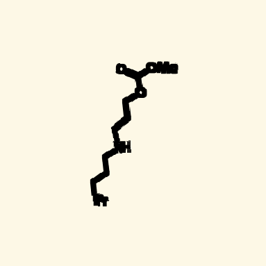 COC(=O)OCCCNCCCC(C)C